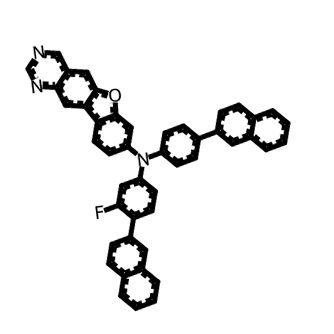 Fc1cc(N(c2ccc(-c3ccc4ccccc4c3)cc2)c2ccc3c(c2)oc2cc4cncnc4cc23)ccc1-c1ccc2ccccc2c1